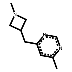 Cc1cc(CC2CN(C)C2)ncn1